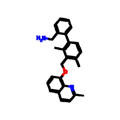 Cc1ccc2cccc(OCc3c(C)ccc(-c4ccccc4CN)c3C)c2n1